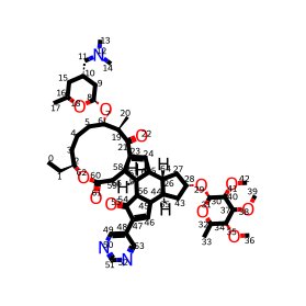 CC[C@H]1CCC[C@H](O[C@H]2C[C@@H](CN(C)C)CC(C)O2)[C@@H](C)C(=O)C2=C[C@H]3[C@@H]4C[C@H](O[C@@H]5OC(C)[C@H](OC)C(OC)C5OC)C[C@H]4C4C=C(c5cncnc5)C(=O)C4[C@H]3[C@@H]2CC(=O)O1